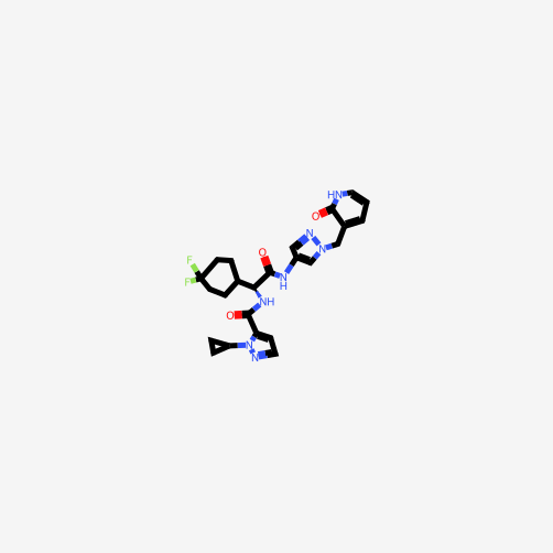 O=C(N[C@H](C(=O)Nc1cnn(Cc2ccc[nH]c2=O)c1)C1CCC(F)(F)CC1)c1ccnn1C1CC1